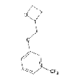 FC(F)(F)c1c[c]cc(OCC2CCO2)c1